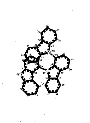 c1ccc2c(c1)oc1cccc(-n3c4ccccc4c4cccc(-n5c6ccccc6c6ccccc65)c43)c12